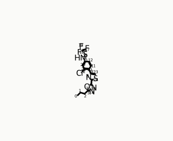 CCCc1nnc(-c2nc(-c3ccc(NSC(F)(F)F)cc3Cl)cs2)o1